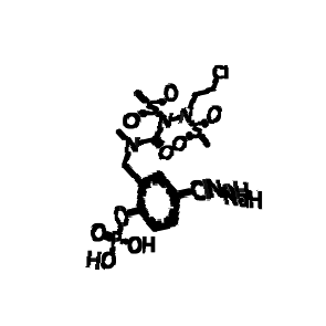 CN(Cc1cc(Cl)ccc1OP(=O)(O)O)C(=O)N(N(CCCl)S(C)(=O)=O)S(C)(=O)=O.[NaH].[NaH]